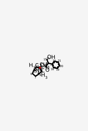 CC(C)(C)N1C2CCC1CC(OC(=O)C(CO)c1ccccc1)C2